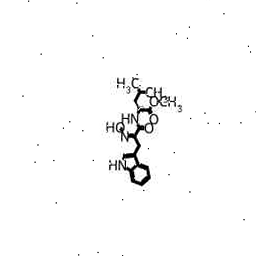 COC(=O)[C@H](CC(C)C)NC(=O)C(Cc1c[nH]c2ccccc12)=NO